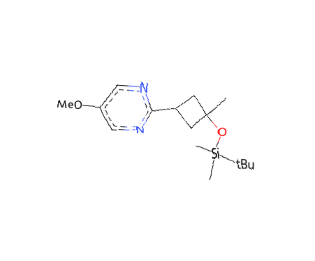 COc1cnc(C2CC(C)(O[Si](C)(C)C(C)(C)C)C2)nc1